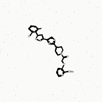 COc1ncccc1OCC(=O)N1CCC(c2nc(C3=NOC(c4c(F)cccc4Cl)C3)cs2)CC1